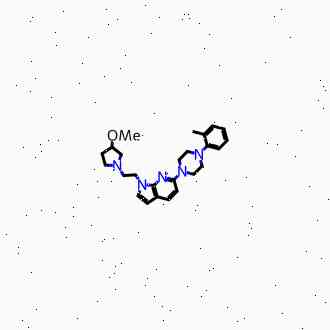 COC1CCN(CCn2ccc3ccc(N4CCN(c5ccccc5C)CC4)nc32)C1